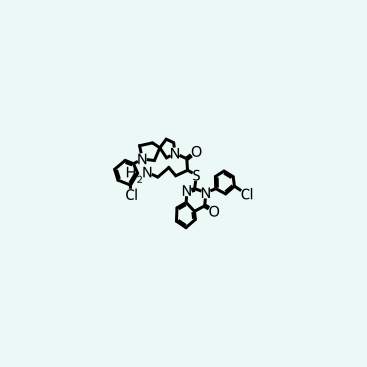 NCCCC(Sc1nc2ccccc2c(=O)n1-c1cccc(Cl)c1)C(=O)N1CCC2(CCN(c3cccc(Cl)c3)C2)C1